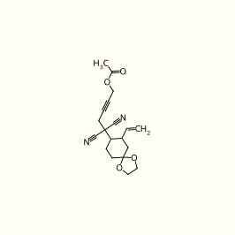 C=CC1CC2(CCC1C(C#N)(C#N)CC#CCOC(C)=O)OCCO2